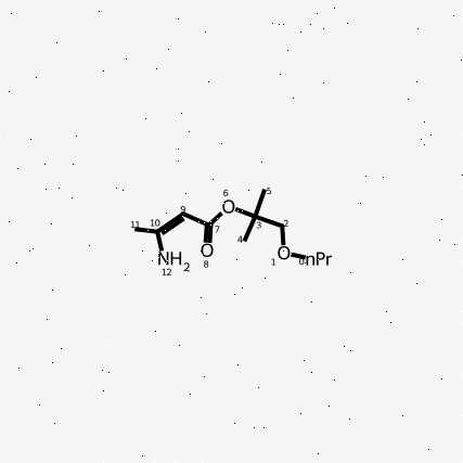 CCCOCC(C)(C)OC(=O)C=C(C)N